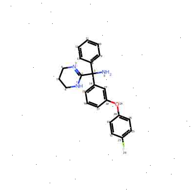 NC(C1=NCCCN1)(c1ccccc1)c1cccc(Oc2ccc(F)cc2)c1